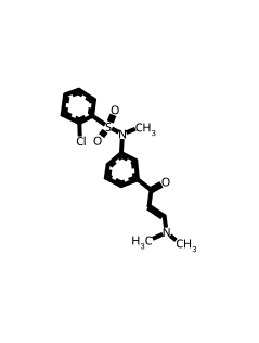 CN(C)/C=C/C(=O)c1cccc(N(C)S(=O)(=O)c2ccccc2Cl)c1